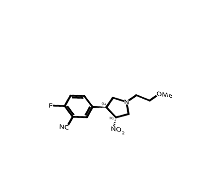 COCCN1C[C@H](c2ccc(F)c(C#N)c2)[C@@H]([N+](=O)[O-])C1